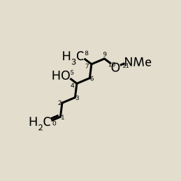 C=CCCC(O)CC(C)CONC